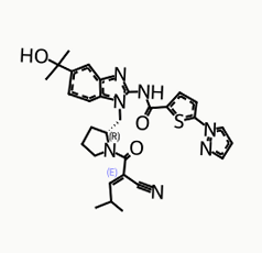 CC(C)/C=C(\C#N)C(=O)N1CCC[C@@H]1Cn1c(NC(=O)c2ccc(-n3cccn3)s2)nc2cc(C(C)(C)O)ccc21